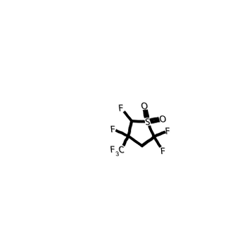 O=S1(=O)C(F)C(F)(C(F)(F)F)CC1(F)F